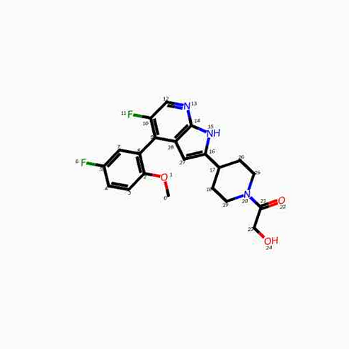 COc1ccc(F)cc1-c1c(F)cnc2[nH]c(C3CCN(C(=O)CO)CC3)cc12